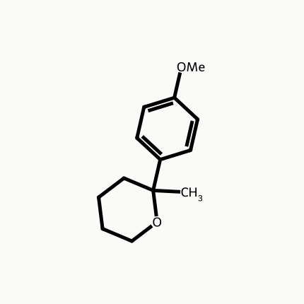 COc1ccc(C2(C)CCCCO2)cc1